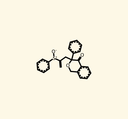 C=C(CC1(c2ccccc2)OCc2ccccc2C1=O)[S+]([O-])c1ccccc1